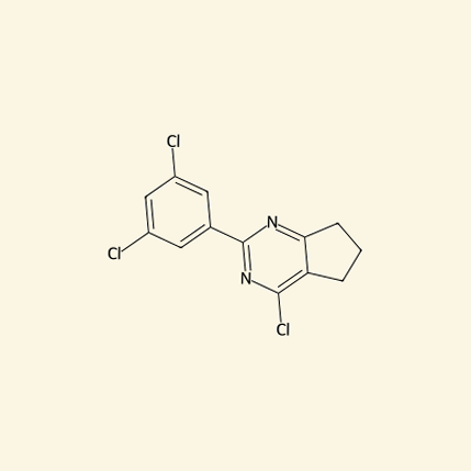 Clc1cc(Cl)cc(-c2nc(Cl)c3c(n2)CCC3)c1